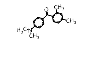 Cc1ccc(C(=O)c2ccc(N(C)C)cc2)c(C)c1